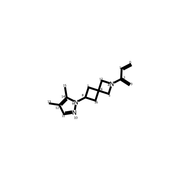 C=CC(=C)N1CC2(CC(n3ncc(C)c3C)C2)C1